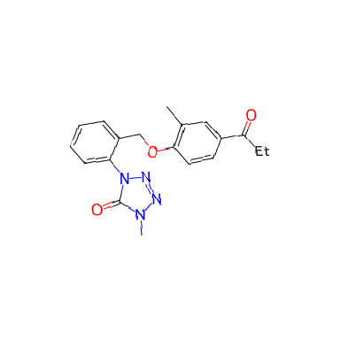 CCC(=O)c1ccc(OCc2ccccc2-n2nnn(C)c2=O)c(C)c1